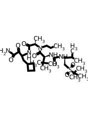 CCCN(C(=O)[C@@H](NC(=O)N[C@H](CS(=O)(=O)C(C)(C)C)C(C)C)C(C)(C)C)[C@@H](C)C(=O)NC(CC1CCC1)C(=O)C(N)=O